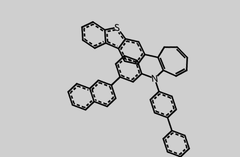 C1=CCC(c2ccc3c(c2)sc2ccccc23)=C(N(c2ccc(-c3ccccc3)cc2)c2cccc(-c3ccc4ccccc4c3)c2)C=C1